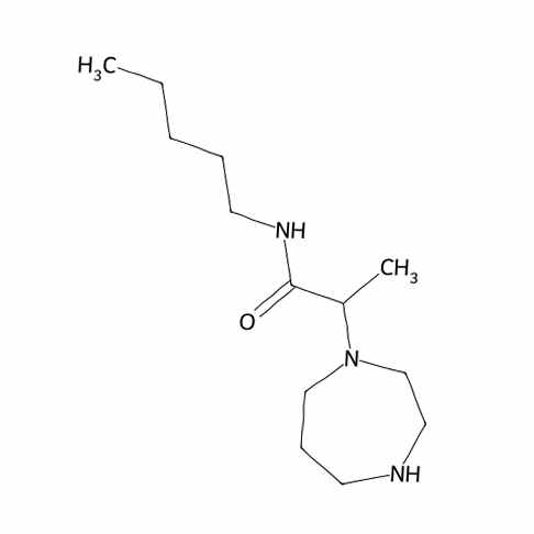 CCCCCNC(=O)C(C)N1CCCNCC1